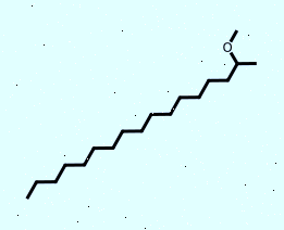 CCCCCCCCCCCCCCCC(C)OC